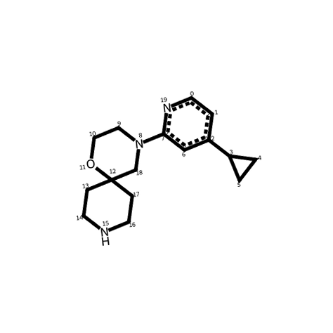 c1cc(C2CC2)cc(N2CCOC3(CCNCC3)C2)n1